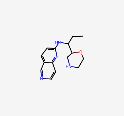 CCC(Nc1ccc2cnccc2n1)C1CNCCO1